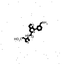 NCc1cccc(-c2nc(C(=O)Nc3cscc3CC(=O)O)cc3ccoc23)c1